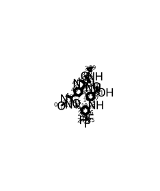 COc1ncc(-c2ccc3c(Nc4ccc(Nc5cccc(C(F)(F)F)c5)cc4C(=O)O)c(S(=O)(=O)NC4CC4)cnc3c2)c(OC)n1